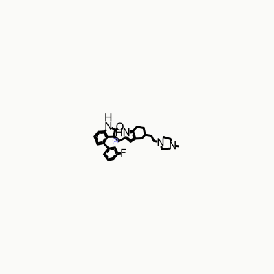 CN1CCN(CCC2CCc3[nH]c(/C=C4\C(=O)Nc5cccc(-c6cccc(F)c6)c54)cc3C2)CC1